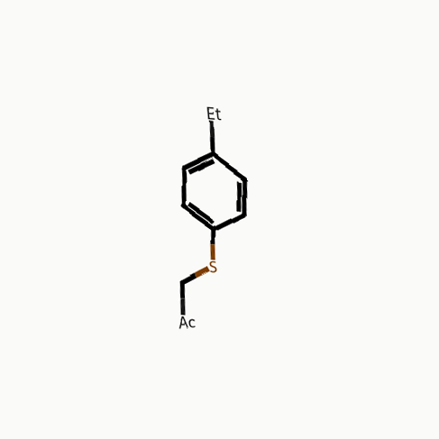 CCc1ccc(SCC(C)=O)cc1